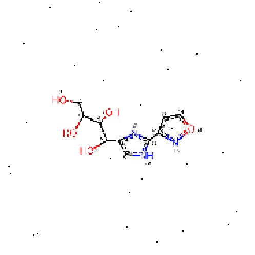 OCC(O)C(O)[C](O)c1c[nH]c(-c2ccon2)n1